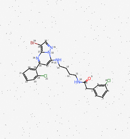 O=C(Cc1cccc(Cl)c1)NCCCCNc1cc(-c2ccccc2Cl)nc2c(Br)cnn12